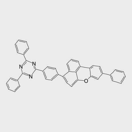 c1ccc(-c2ccc3c(c2)Oc2ccc(-c4ccc(-c5nc(-c6ccccc6)nc(-c6ccccc6)n5)cc4)c4cccc-3c24)cc1